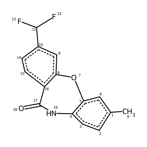 Cc1ccc2c(c1)Oc1cc(C(F)F)ccc1C(=O)N2